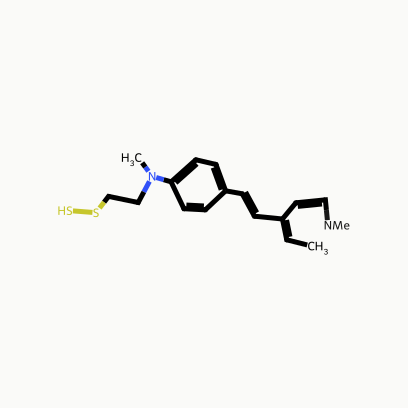 C/C=C(\C=C/NC)/C=C/c1ccc(N(C)CCSS)cc1